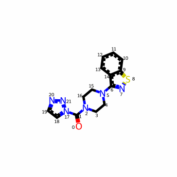 O=C(N1CCN(c2nsc3ccccc23)CC1)n1ccnn1